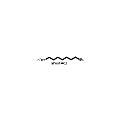 CCCCCCCCCCCCCCCCCC(C)CC.CCCCCCl